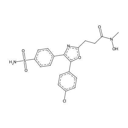 CN(O)C(=O)CCc1nc(-c2ccc(S(N)(=O)=O)cc2)c(-c2ccc(Cl)cc2)o1